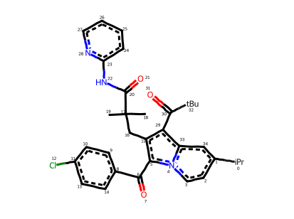 CC(C)c1ccn2c(C(=O)c3ccc(Cl)cc3)c(CC(C)(C)C(=O)Nc3ccccn3)c(C(=O)C(C)(C)C)c2c1